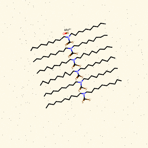 CCCCCCCCCCN(CCCCCCCCCC)C(=S)[S-].CCCCCCCCCCN(CCCCCCCCCC)C(=S)[S-].CCCCCCCCCCN(CCCCCCCCCC)C(=S)[S-].CCCCCCCCCCN(CCCCCCCCCC)C(=S)[S-].CCCCCCCCCCN(CCCCCCCCCC)C(=S)[S-].CCCCCCCCCCN(CCCCCCCCCC)C(=S)[S-].O=S.[Mo+6]